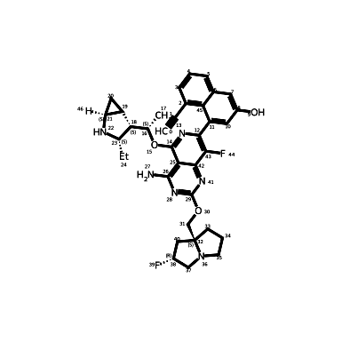 C#Cc1cccc2cc(O)cc(-c3nc(O[C@@H](C)[C@H]4C5C[C@@H]5N[C@H]4CC)c4c(N)nc(OC[C@@]56CCCN5C[C@H](F)C6)nc4c3F)c12